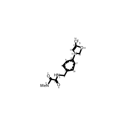 CNC(=O)C(=O)NCc1ccc(N2C=C(C(F)(F)F)OC2)cc1